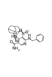 N#CC12CC3CC(C1)C(Nc1c(C(N)=O)cnc(NCc4ccccc4)c1[N+](=O)[O-])C(C3)C2